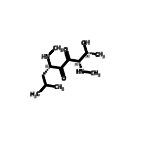 CN[C@@H](CC(C)C)C(=O)C(=O)[C@@H](NC)[C@@H](C)O